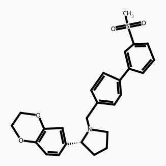 CS(=O)(=O)c1cccc(-c2ccc(CN3CCC[C@@H]3c3ccc4c(c3)OCCO4)cc2)c1